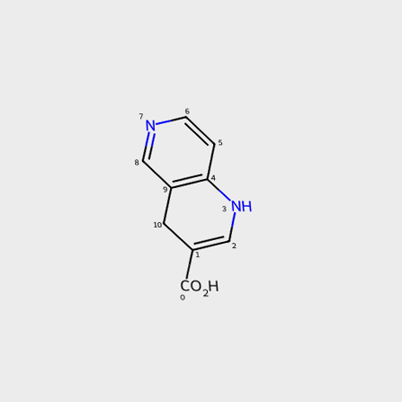 O=C(O)C1=CNc2ccncc2C1